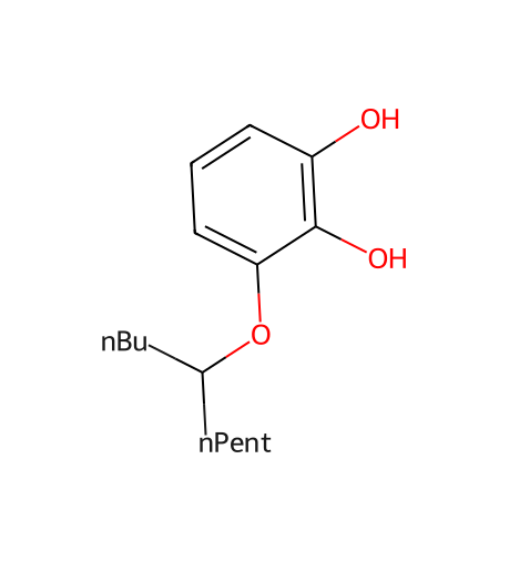 CCCCCC(CCCC)Oc1cccc(O)c1O